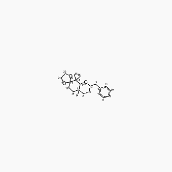 CC12CCC(Cc3ccccc3)OC1C(C)(C)C1(CC2)OCCO1